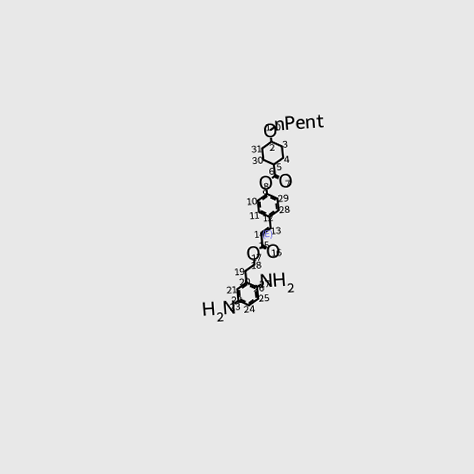 CCCCCOC1CCC(C(=O)Oc2ccc(/C=C/C(=O)OCCc3cc(N)ccc3N)cc2)CC1